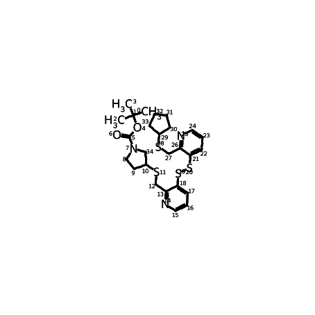 CC(C)(C)OC(=O)N1CCC(SCc2ncccc2SSc2cccnc2CSC2CCCC2)C1